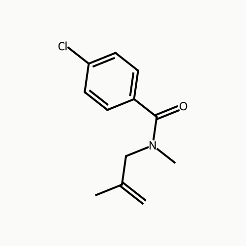 C=C(C)CN(C)C(=O)c1ccc(Cl)cc1